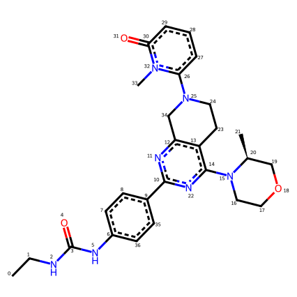 CCNC(=O)Nc1ccc(-c2nc3c(c(N4CCOC[C@@H]4C)n2)CCN(c2cccc(=O)n2C)C3)cc1